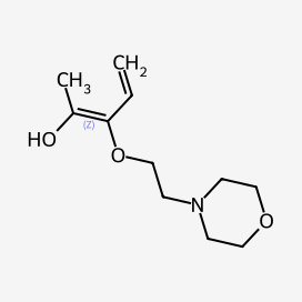 C=C/C(OCCN1CCOCC1)=C(\C)O